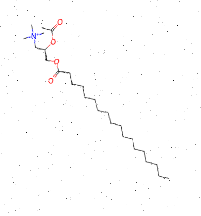 CCCCCCCCCCCCCCCCCC(=O)OC[C@@H](C[N+](C)(C)C)OC(C)=O